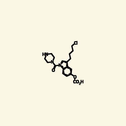 O=C(O)Oc1ccc2c(c1)c(CCCCCl)cn2C(=O)N1CCNCC1